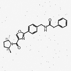 C[C@H]1CC[C@H](C)N1C(=O)c1coc(-c2ccc(CNC(=O)Cc3ccccc3)cc2)n1